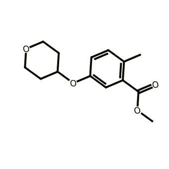 COC(=O)c1cc(OC2CCOCC2)ccc1C